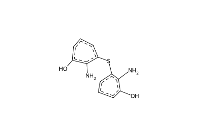 Nc1c(O)cccc1Sc1cccc(O)c1N